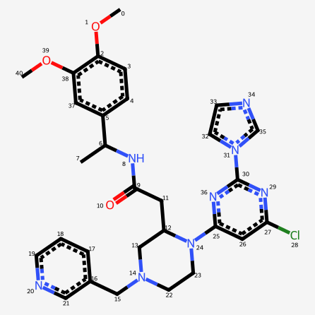 COc1ccc(C(C)NC(=O)CC2CN(Cc3cccnc3)CCN2c2cc(Cl)nc(-n3ccnc3)n2)cc1OC